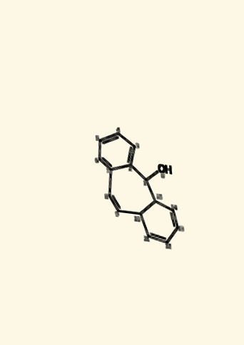 OC1c2ccccc2C=CC2C=CC=CC21